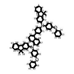 CC1(C)c2ccccc2-c2ccc(N(c3ccc(Oc4ccccc4)cc3)c3ccc(-c4cccc5c(N(c6ccc(Oc7ccccc7)cc6)c6ccc7c(c6)C(C)(C)c6ccccc6-7)cccc45)cc3)cc21